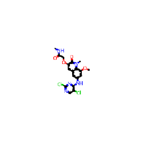 CNC(=O)COc1cc2cc(Nc3nc(Cl)ncc3Cl)cc(OC)c2n(C)c1=O